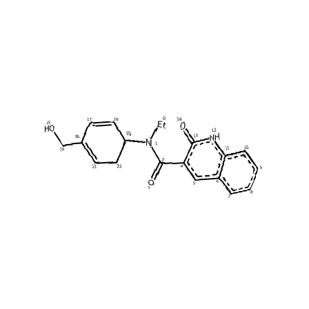 CCN(C(=O)c1cc2ccccc2[nH]c1=O)C1C=CC(CO)=CC1